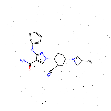 CC1CN(C2CCC(n3cc(C(N)=O)c(Nc4ccccc4)n3)C(C#N)C2)C1